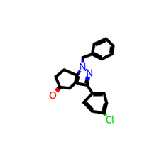 O=C1CCc2c(c(-c3ccc(Cl)cc3)nn2Cc2ccccc2)C1